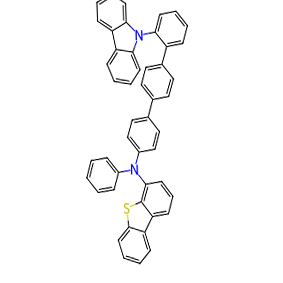 c1ccc(N(c2ccc(-c3ccc(-c4ccccc4-n4c5ccccc5c5ccccc54)cc3)cc2)c2cccc3c2sc2ccccc23)cc1